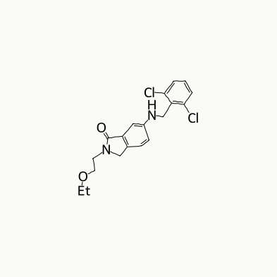 CCOCCN1Cc2ccc(NCc3c(Cl)cccc3Cl)cc2C1=O